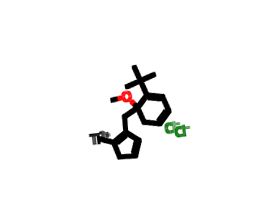 COC1(CC2=[C]([Ti+2])CC=C2)CC=CC=C1C(C)(C)C.[Cl-].[Cl-]